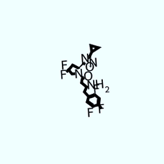 N[C@@H](CC(=O)N1CC(F)(F)C[C@H]1c1nc(C2CC2)no1)Cc1cc(F)c(F)cc1F